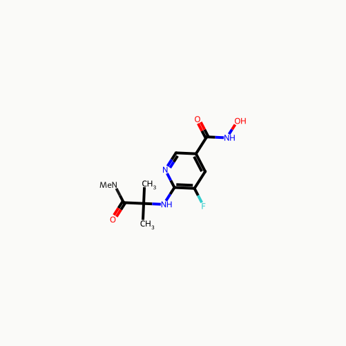 CNC(=O)C(C)(C)Nc1ncc(C(=O)NO)cc1F